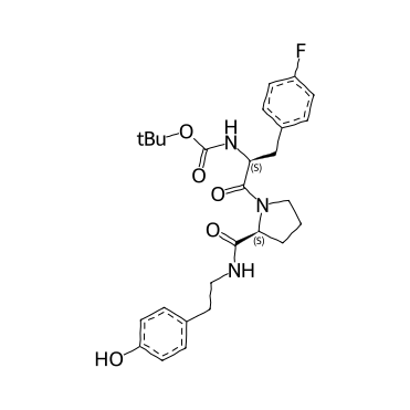 CC(C)(C)OC(=O)N[C@@H](Cc1ccc(F)cc1)C(=O)N1CCC[C@H]1C(=O)NCCc1ccc(O)cc1